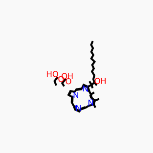 CCC(=O)O.CCC(=O)O.CCCCCCCCCCCCC(C)(O)C(C)(C)C1=CC2=CC3=NC(=CC4=NC(=CC5=NC(=C(C)C1=N2)C(C)=C5C)C=C4)C=C3